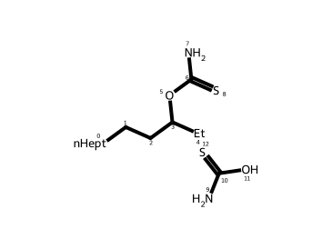 CCCCCCCCCC(CC)OC(N)=S.NC(O)=S